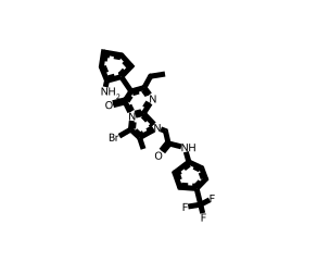 CCc1nc2n(CC(=O)Nc3ccc(C(F)(F)F)cc3)c(C)c(Br)n2c(=O)c1-c1ccccc1N